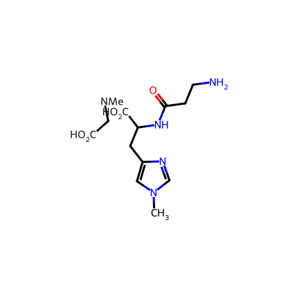 CNCC(=O)O.Cn1cnc(CC(NC(=O)CCN)C(=O)O)c1